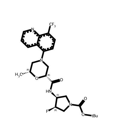 C[C@@H]1CN(c2ccc(C(F)(F)F)c3ncccc23)C[C@H](C(=O)N[C@H]2CN(C(=O)OC(C)(C)C)C[C@H]2F)O1